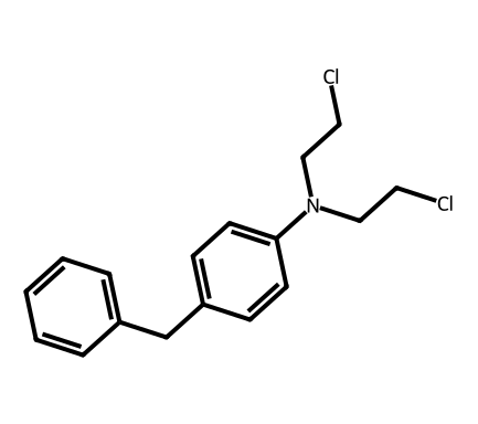 ClCCN(CCCl)c1ccc(Cc2ccccc2)cc1